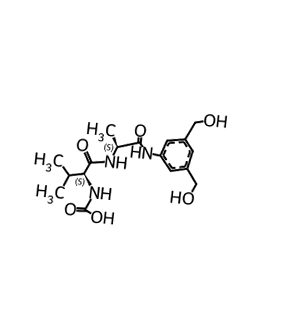 CC(C)[C@H](NC(=O)O)C(=O)N[C@@H](C)C(=O)Nc1cc(CO)cc(CO)c1